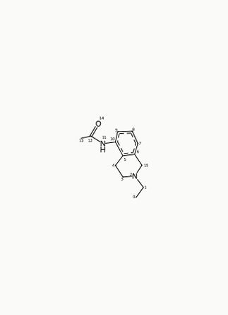 CCN1CCc2c(cccc2NC(C)=O)C1